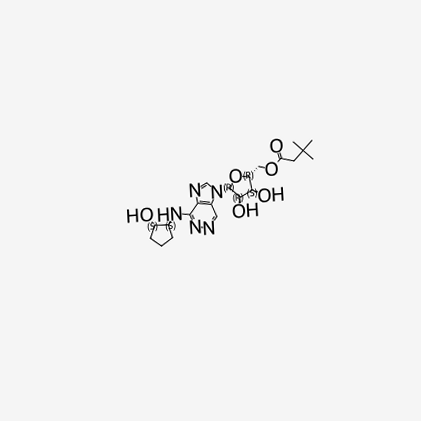 CC(C)(C)CC(=O)OC[C@H]1O[C@@H](n2cnc3c(N[C@H]4CCC[C@@H]4O)nncc32)[C@H](O)[C@@H]1O